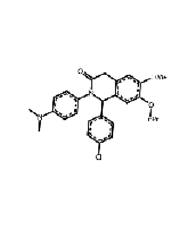 CCCOc1cc2c(cc1OC)CC(=O)N(c1ccc(N(C)C)cc1)C2c1ccc(Cl)cc1